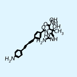 CC(O)(c1c[nH]c(N)n1)[C@H](NC(=O)c1ccc(C#CC#Cc2ccc(N)cc2)cc1)C(=O)NO